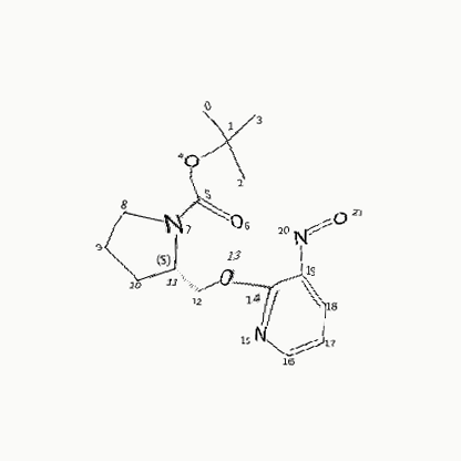 CC(C)(C)OC(=O)N1CCC[C@H]1COc1ncccc1N=O